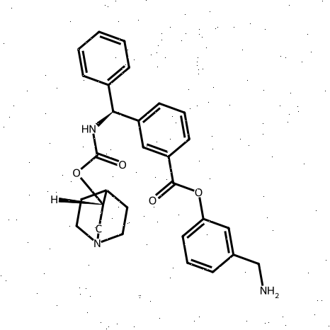 NCc1cccc(OC(=O)c2cccc([C@@H](NC(=O)O[C@H]3CN4CCC3CC4)c3ccccc3)c2)c1